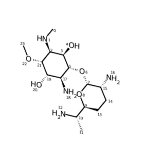 CN[C@H]1[C@@H](O)[C@H](O[C@H]2O[C@H]([C@H](C)N)CC[C@H]2N)[C@@H](N)[C@H](O)[C@@H]1OC